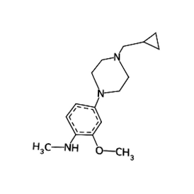 CNc1ccc(N2CCN(CC3CC3)CC2)cc1OC